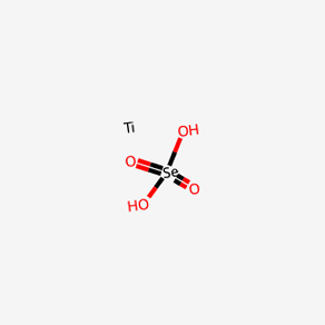 O=[Se](=O)(O)O.[Ti]